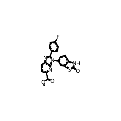 COC(=O)c1ccc2nc(-c3ccc(F)cc3)n(-c3ccc4[nH]c(=O)sc4c3)c2n1